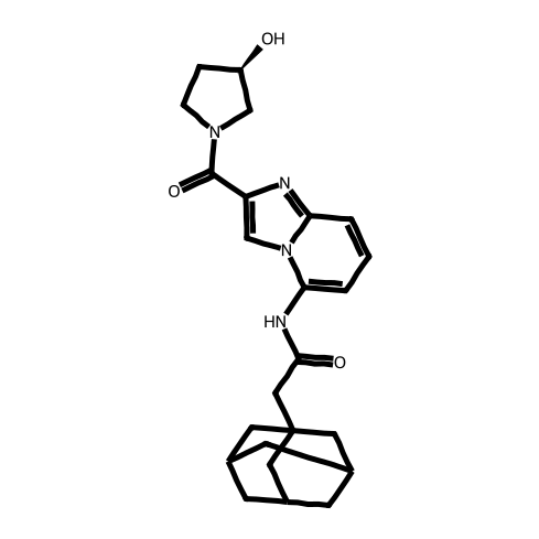 O=C(CC12CC3CC(CC(C3)C1)C2)Nc1cccc2nc(C(=O)N3CC[C@@H](O)C3)cn12